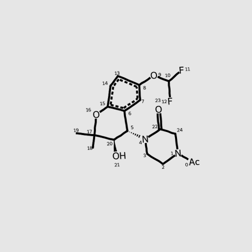 CC(=O)N1CCN([C@H]2c3cc(OC(F)F)ccc3OC(C)(C)[C@@H]2O)C(=O)C1